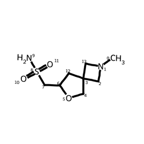 CN1CC2(COC(CS(N)(=O)=O)C2)C1